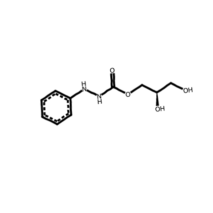 O=C(NNc1ccccc1)OC[C@H](O)CO